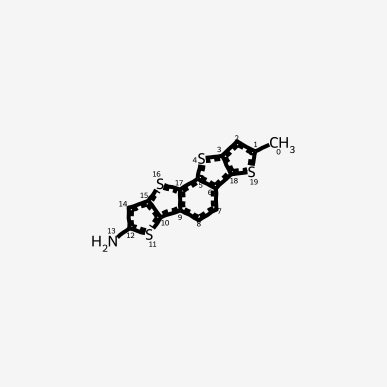 Cc1cc2sc3c(ccc4c5sc(N)cc5sc43)c2s1